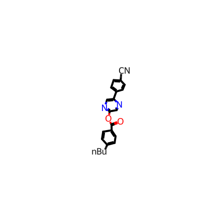 CCCCc1ccc(C(=O)Oc2cnc(-c3ccc(C#N)cc3)cn2)cc1